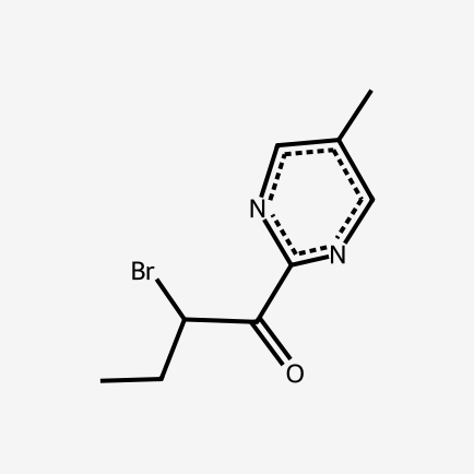 CCC(Br)C(=O)c1ncc(C)cn1